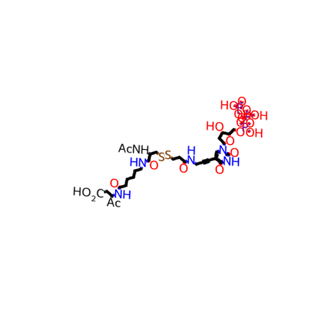 CC(=O)NC(CSSCCC(=O)NCC#Cc1cn(C2CC(O)C(COP(=O)(O)OP(=O)(O)OP(=O)(O)O)O2)c(=O)[nH]c1=O)C(=O)NCCCCCC(=O)NC(CC(=O)O)C(C)=O